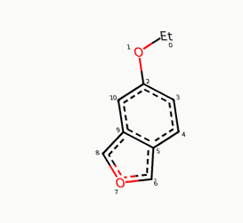 CCOc1ccc2[c]occ2c1